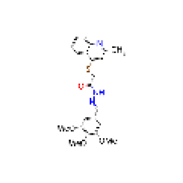 COc1cc(/C=N/NC(=O)CSc2cc(C)nc3ccccc23)cc(OC)c1OC